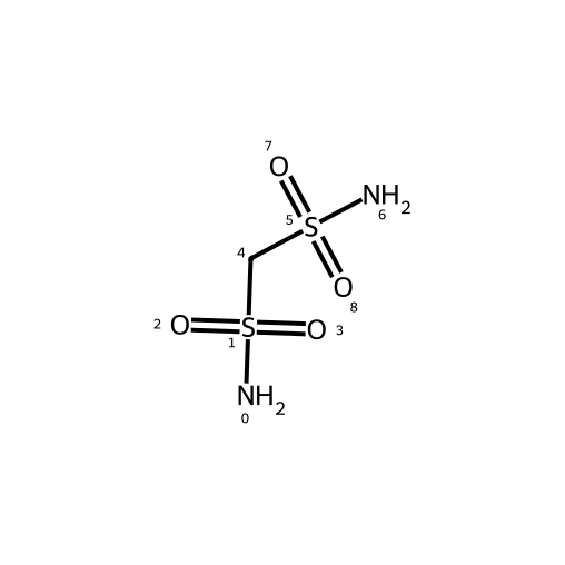 NS(=O)(=O)CS(N)(=O)=O